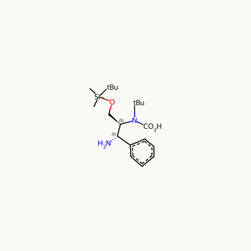 CC(C)(C)N(C(=O)O)[C@H](CO[Si](C)(C)C(C)(C)C)[C@@H](N)c1ccccc1